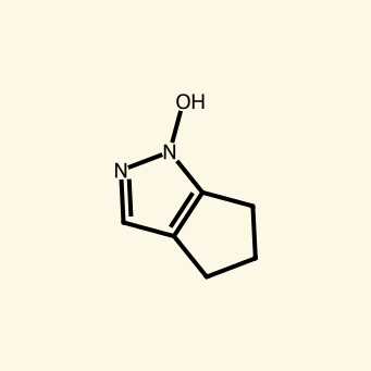 On1ncc2c1CCC2